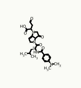 CC(C)C[C@H](NC(=O)c1ccc(N(C)C)cc1)C(=O)N1CC=C2C1C(=O)CN2C(CC=O)C(=O)O